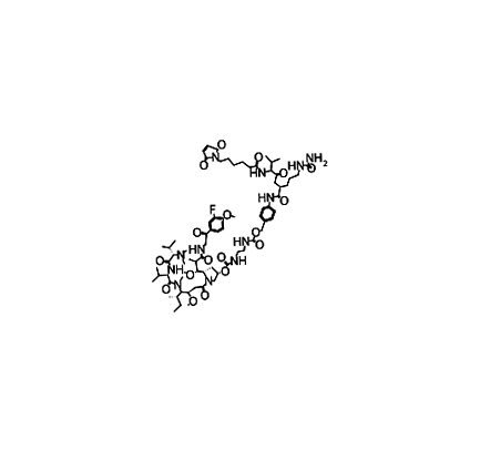 CC[C@H](C)C([C@@H](CC(=O)N1C[C@@H](OC(=O)NCCNC(=O)OCc2ccc(NC(=O)C(CCCNC(N)=O)CC(=O)[C@@H](NC(=O)CCCCCN3C(=O)C=CC3=O)C(C)C)cc2)C[C@H]1[C@H](OC)[C@@H](C)C(=O)NCC(=O)c1ccc(OC)c(F)c1)OC)N(C)C(=O)[C@@H](NC(=O)[C@H](C(C)C)N(C)C)C(C)C